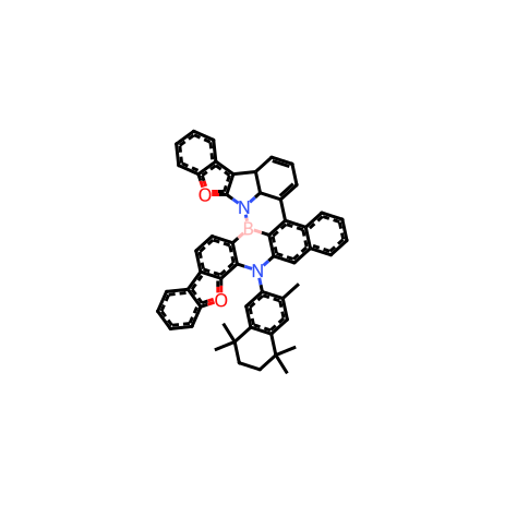 Cc1cc2c(cc1N1c3cc4ccccc4c4c3B(c3ccc5c(oc6ccccc65)c31)N1c3oc5ccccc5c3C3C=CC=C4C31)C(C)(C)CCC2(C)C